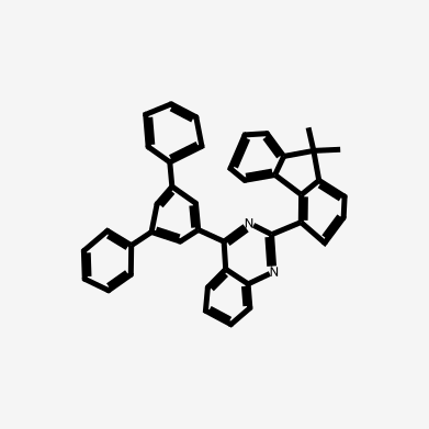 CC1(C)c2ccccc2-c2c(-c3nc(-c4cc(-c5ccccc5)cc(-c5ccccc5)c4)c4ccccc4n3)cccc21